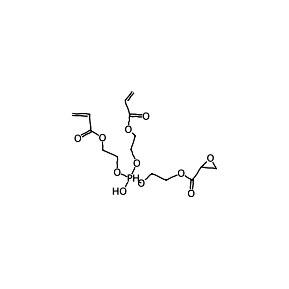 C=CC(=O)OCCO[PH](O)(OCCOC(=O)C=C)OCCOC(=O)C1CO1